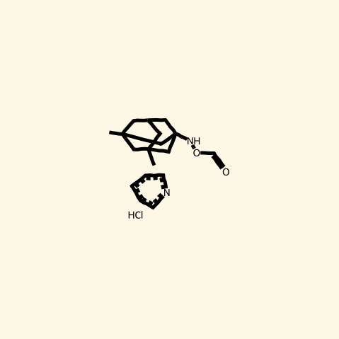 CC12CC3CC(C)(C1)CC(NOC=O)(C3)C2.Cl.c1ccncc1